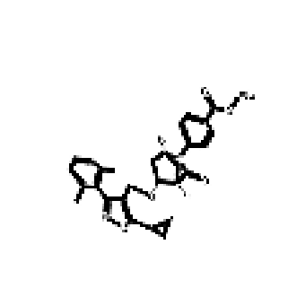 Cc1cccc(C)c1-c1noc(C2CC2)c1CO[C@@H]1C[C@@H]2C[C@H]1C(=O)N2c1ccc(C(=O)OC(C)(C)C)cc1